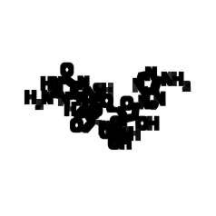 C[C@H]1[C@@H](O)[C@H](n2cnc3c(N)ncnc32)O[C@@H]1CO[P@@](=O)(S)O[C@H]1[C@H]2OC[C@]1(CO[P@@](=O)(O)S)O[C@H]2n1cnc2c(=O)[nH]c(N)nc21